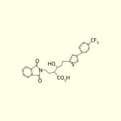 O=C(O)C(CCN1C(=O)c2ccccc2C1=O)C(O)CCc1cc(-c2ccc(C(F)(F)F)cc2)cs1